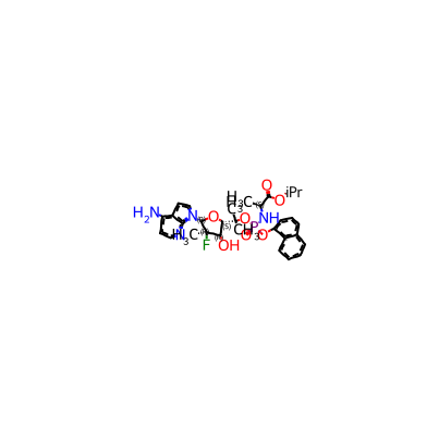 CC(C)OC(=O)[C@H](C)NP(=O)(Oc1cccc2ccccc12)OC(C)(C)[C@H]1O[C@@H](n2ccc3c(N)ccnc32)[C@](C)(F)[C@@H]1O